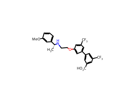 COc1cccc([C@@H](C)NCCOc2cc(-c3cc(C(=O)O)cc(C(F)(F)F)c3)cc(C(F)(F)F)c2)c1